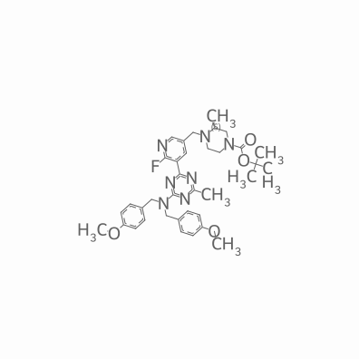 COc1ccc(CN(Cc2ccc(OC)cc2)c2nc(C)nc(-c3cc(CN4CCN(C(=O)OC(C)(C)C)C[C@@H]4C)cnc3F)n2)cc1